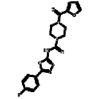 O=C(Nc1nnc(-c2ccc(F)cc2)o1)N1CCN(C(=O)c2ccco2)CC1